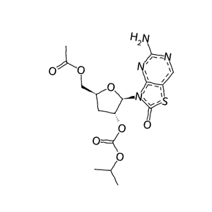 CC(=O)OC[C@@H]1C[C@@H](OC(=O)OC(C)C)[C@H](n2c(=O)sc3cnc(N)nc32)O1